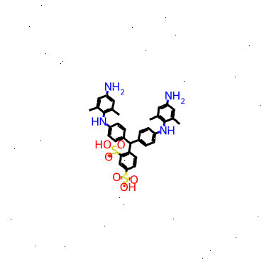 Cc1cc(N)cc(C)c1Nc1ccc(C(c2ccc(Nc3c(C)cc(N)cc3C)cc2)c2ccc(S(=O)(=O)O)cc2S(=O)(=O)O)cc1